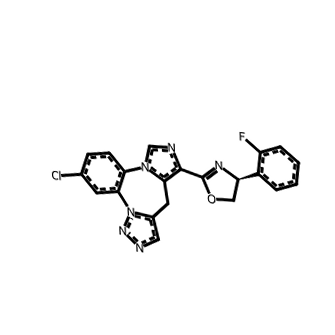 Fc1ccccc1[C@H]1COC(c2ncn3c2Cc2cnnn2-c2cc(Cl)ccc2-3)=N1